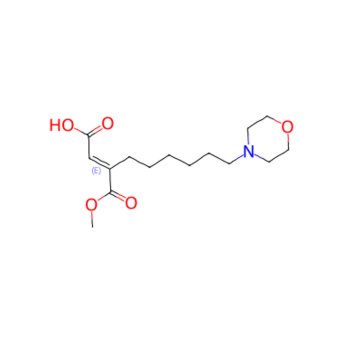 COC(=O)/C(=C/C(=O)O)CCCCCCN1CCOCC1